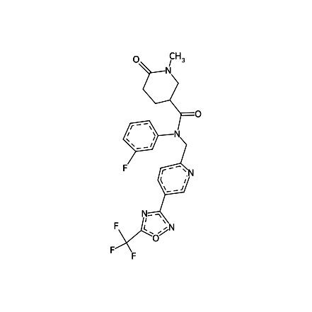 CN1CC(C(=O)N(Cc2ccc(-c3noc(C(F)(F)F)n3)cn2)c2cccc(F)c2)CCC1=O